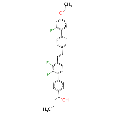 CCCC(O)c1ccc(-c2ccc(/C=C/c3ccc(-c4ccc(OCC)cc4F)cc3)c(F)c2F)cc1